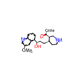 COC(=O)[C@H]1CNCC[C@H]1CCC(O)c1cccc2ncc(OC)cc12